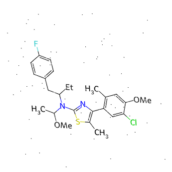 CCC(Cc1ccc(F)cc1)N(c1nc(-c2cc(Cl)c(OC)cc2C)c(C)s1)C(C)OC